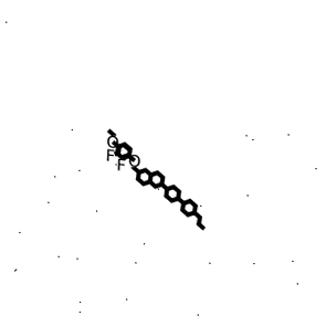 CCCC1CCC(C2CCC(C3CCC4CC(COc5ccc(OCC)c(F)c5F)CCC4C3)CC2)CC1